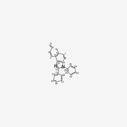 C=C/C=C\c1c(C)ccc2c1nc(-c1ccccc1)n2-c1ccccc1